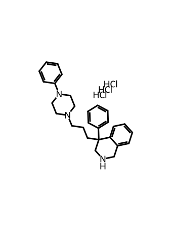 Cl.Cl.Cl.c1ccc(N2CCN(CCCC3(c4ccccc4)CNCc4ccccc43)CC2)cc1